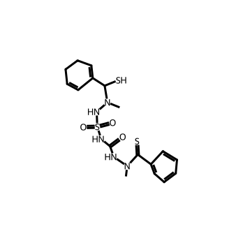 CN(NC(=O)NS(=O)(=O)NN(C)C(S)C1=CCCC=C1)C(=S)c1ccccc1